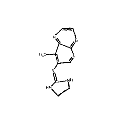 Cc1c(N=C2NCCN2)cnc2nccnc12